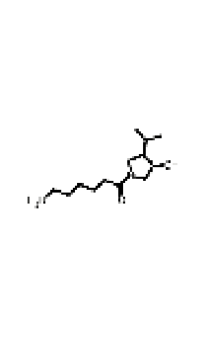 CC(C)C1CN(C(=O)CCCCCN)CC1O